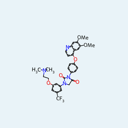 COc1cc2nccc(Oc3ccc(N4C(=O)CN(c5cc(OCCN(C)C)cc(C(F)(F)F)c5)C4=O)cc3)c2cc1OC